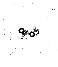 OB1OCCc2ccc(NOc3ccccc3OC(F)(F)F)cc21